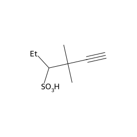 C#CC(C)(C)C(CC)S(=O)(=O)O